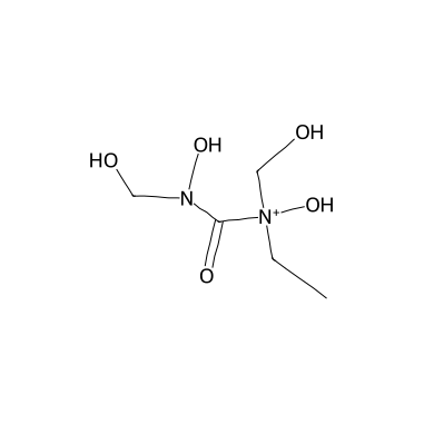 CC[N+](O)(CO)C(=O)N(O)CO